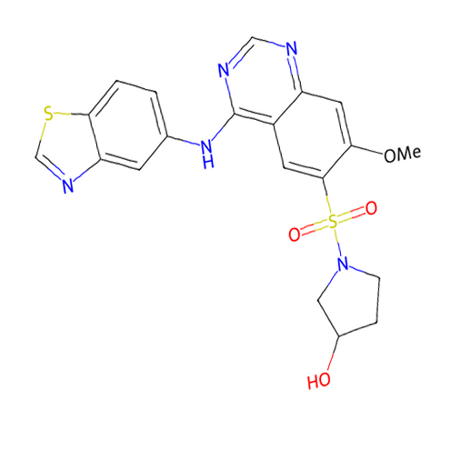 COc1cc2ncnc(Nc3ccc4scnc4c3)c2cc1S(=O)(=O)N1CCC(O)C1